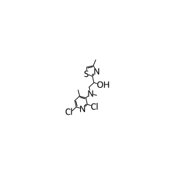 Cc1csc(C(O)CN(C)c2c(C)cc(Cl)nc2Cl)n1